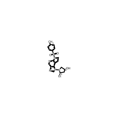 CC[C@@H]1C[C@@H](O)CN1n1cnc2cnc3c(ccn3S(=O)(=O)c3ccc(C)cc3)c21